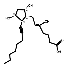 CCCCCCC#C[C@@H]1[C@@H](CC=C(O)CCCC(=O)O)[C@@H](O)C[C@H]1O